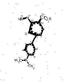 CN(C)c1ccc(-c2ccc(C(=O)O)c(N=N)c2)cc1